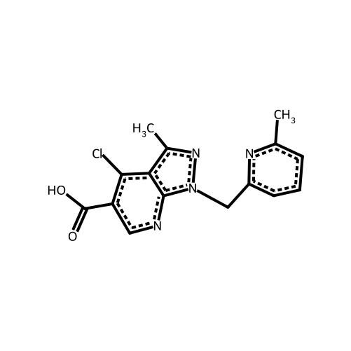 Cc1cccc(Cn2nc(C)c3c(Cl)c(C(=O)O)cnc32)n1